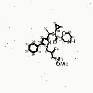 CONCC(F)Cn1nc([C@@H](C)N(C(=O)[C@H]2CNCCO2)C2CC2)cc1-c1ccccc1